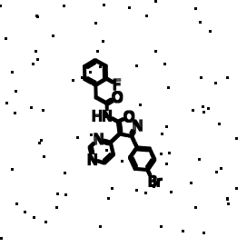 O=C(Cc1ccccc1F)Nc1onc(-c2ccc(Br)cc2)c1-c1ccncn1